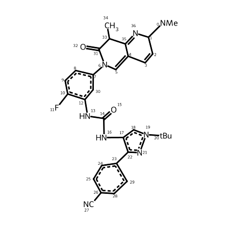 CNC1C=CC2=CN(c3ccc(F)c(NC(=O)Nc4cn(C(C)(C)C)nc4-c4ccc(C#N)cc4)c3)C(=O)C(C)C2=N1